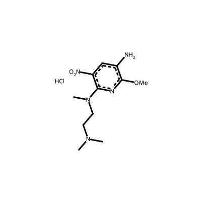 COc1nc(N(C)CCN(C)C)c([N+](=O)[O-])cc1N.Cl